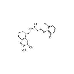 CCC(CCOc1c(Cl)cccc1Cl)NCC1CCCc2cc(O)c(O)cc21